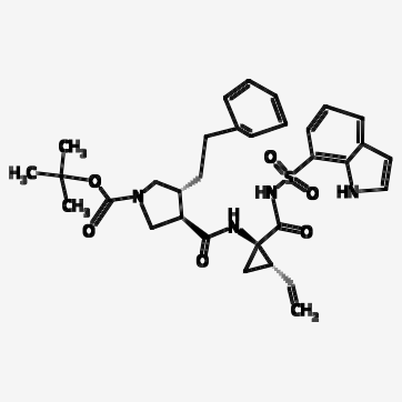 C=C[C@@H]1C[C@]1(NC(=O)[C@H]1CN(C(=O)OC(C)(C)C)C[C@@H]1CCc1ccccc1)C(=O)NS(=O)(=O)c1cccc2cc[nH]c12